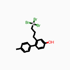 Cc1ccc(-c2ccc(O)cc2CCC[Si](Br)(Br)Br)cc1